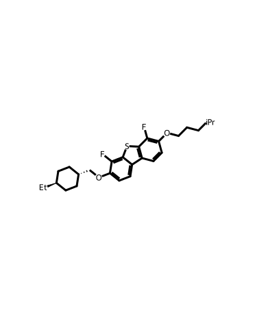 CC[C@H]1CC[C@H](COc2ccc3c(sc4c(F)c(OCCCC(C)C)ccc43)c2F)CC1